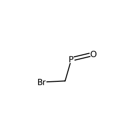 O=PCBr